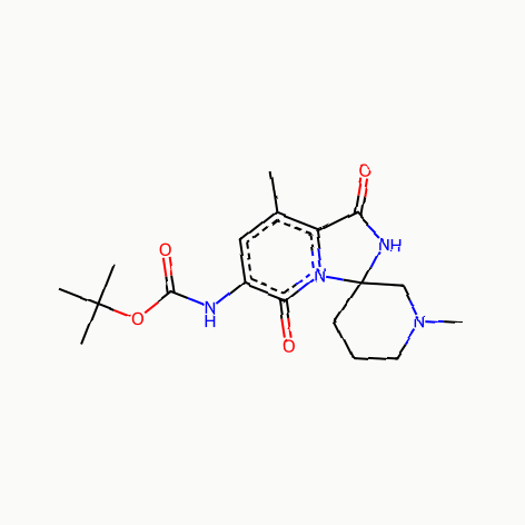 Cc1cc(NC(=O)OC(C)(C)C)c(=O)n2c1C(=O)NC21CCCN(C)C1